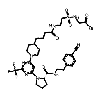 N#Cc1ccc(CCNC(=O)[C@@H]2CCCN2c2cc(N3CCC(CCCC(=O)NCCS(=O)(=O)NCC(=O)O)CC3)nc(C(F)(F)F)n2)cc1